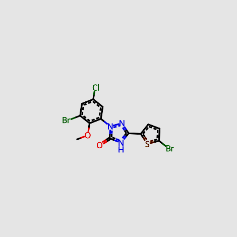 COc1c(Br)cc(Cl)cc1-n1nc(-c2ccc(Br)s2)[nH]c1=O